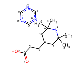 CC1(C)CC(CCC(=O)O)CC(C)(C)N1.c1ncncn1